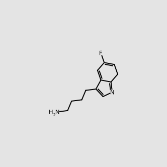 NCCCCC1=CN=C2CC=C(F)C=C12